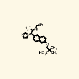 CC(C)CNC(C)C(c1ccc2cc(OCC(C)(C)C(=O)O)ccc2c1)n1ccnc1